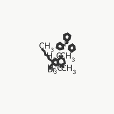 CCCCCCc1cc2c(cc1CBr)C(C)(C)CCC2(C)C.c1ccc(P(c2ccccc2)c2ccccc2)cc1